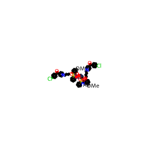 COc1ccc(OCCCCN2CCC(C(=O)c3ccc(Cl)cc3)CC2)c(C2(OC(=O)/C=C\C(=O)OC3(c4cc(OC)ccc4OCCCCN4CCC(C(=O)c5ccc(Cl)cc5)CC4)Sc4ccccc4N3C(C)=O)Sc3ccccc3N2C(C)=O)c1